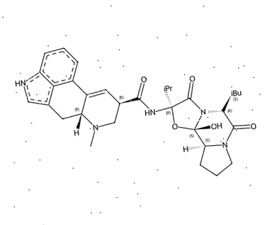 CC[C@H](C)[C@@H]1C(=O)N2CCC[C@H]2[C@]2(O)O[C@](NC(=O)[C@@H]3C=C4c5cccc6[nH]cc(c56)C[C@H]4N(C)C3)(C(C)C)C(=O)N12